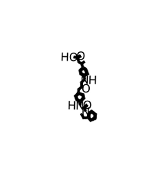 CC(CC(=O)O)c1ccc(NCC(=O)Cc2ccc(NC(=O)N3CCc4ccccc43)cc2)cc1